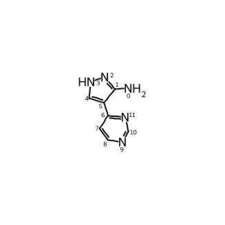 Nc1n[nH]cc1-c1ccncn1